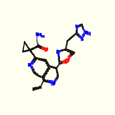 CNc1ncc(-c2nc(Cc3nc[nH]n3)co2)c2cc(C3(C(N)=O)CC3)ncc12